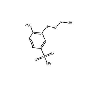 CCCS(=O)(=O)c1ccc(C)c(SOOO)c1